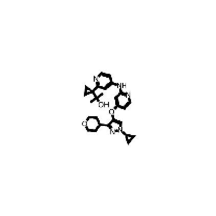 CC(C)(O)C1(c2cc(Nc3cc(Oc4cn(C5CC5)nc4C4CCOCC4)ccn3)ccn2)CC1